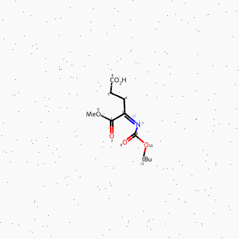 COC(=O)/C(CCC(=O)O)=N\C(=O)OC(C)(C)C